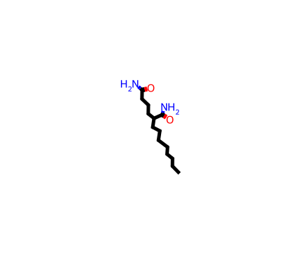 CCCCCCCCC(CCCC(N)=O)C(N)=O